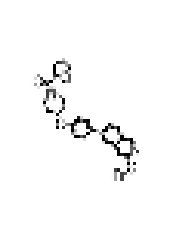 CC(C)Oc1cc2cc(-c3ccc(OC4CCN(C(=O)C5CCCO5)CC4)cc3)ccc2cn1